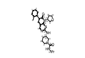 Cc1ccccc1-c1cc2cnc(N[C@H]3CCCN(C(=O)NC(C)C)C3)nc2n([C@H]2CCOC2)c1=O